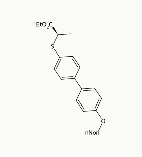 CCCCCCCCCOc1ccc(-c2ccc(S[C@H](C)C(=O)OCC)cc2)cc1